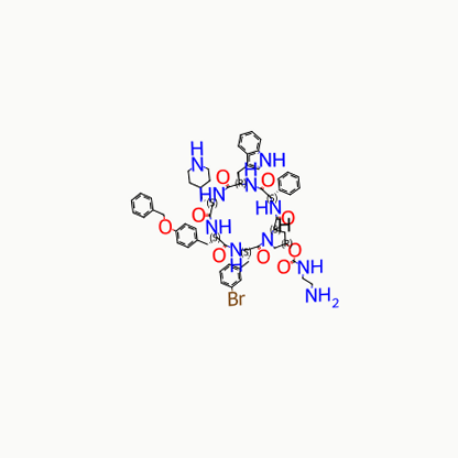 NCCNC(=O)O[C@@H]1C[C@H]2C(=O)N[C@@H](c3ccccc3)C(=O)N[C@H](Cc3c[nH]c4ccccc34)C(=O)N[C@@H](CC3CCNCC3)C(=O)N[C@@H](Cc3ccc(OCc4ccccc4)cc3)C(=O)N[C@@H](Cc3cccc(Br)c3)C(=O)N2C1